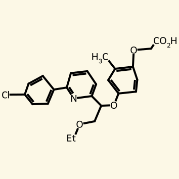 CCOCC(Oc1ccc(OCC(=O)O)c(C)c1)c1cccc(-c2ccc(Cl)cc2)n1